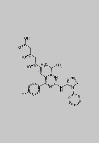 CC(C)c1nc(Nc2ccnn2-c2ccccc2)nc(-c2ccc(F)cc2)c1/C=C/[C@@H](O)C[C@@H](O)CC(=O)O